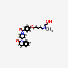 CN(CCO)CCCCCOc1ccc(C(=O)N2CCC(N3C(=O)CCc4ccccc43)CC2)cc1